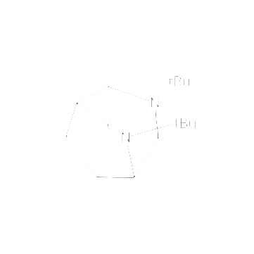 CC(C)(C)N1CC2CCC(C1)N(C(C)(C)C)C2